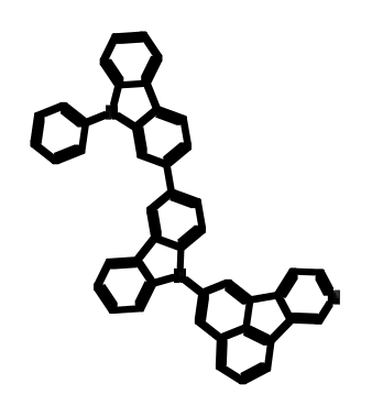 c1ccc(-n2c3ccccc3c3ccc(-c4ccc5c(c4)c4ccccc4n5-c4cc5c6c(cccc6c4)-c4cnccc4-5)cc32)cc1